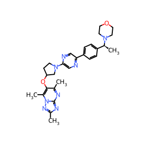 Cc1nc2nc(C)c(OC3CCN(c4cnc(-c5ccc([C@H](C)N6CCOCC6)cc5)cn4)C3)c(C)n2n1